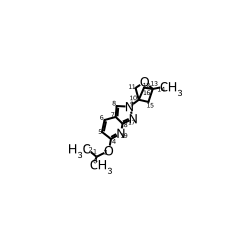 CC(C)Oc1ccc2cn(C34COC(C)(C3)C4)nc2n1